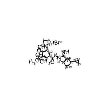 Br.COc1c(N2CCCC2)cc(C(=O)CN2Cc3ccc(C4CC4)nc3C2=N)cc1C(C)(C)C